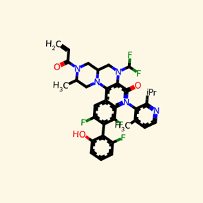 C=CC(=O)N1CC2CN(C(F)F)c3c(c4cc(F)c(-c5c(O)cccc5F)c(F)c4n(-c4c(C)ccnc4C(C)C)c3=O)N2CC1C